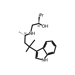 CC(C)[C@@H](O)CN[C@@H](C)CC(C)(C)c1c[nH]c2ccccc12